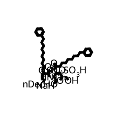 CCCCCCCCCCCCC(OC(=O)CCCCCCCCc1ccccc1)C(=O)N[C@H]1C(O)O[C@H](CO)[C@@H](OS(=O)(=O)O)[C@@H]1OC(=O)CCCCCCCCc1ccccc1.[NaH]